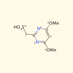 COc1cc(OC)nc(CS(=O)(=O)O)n1